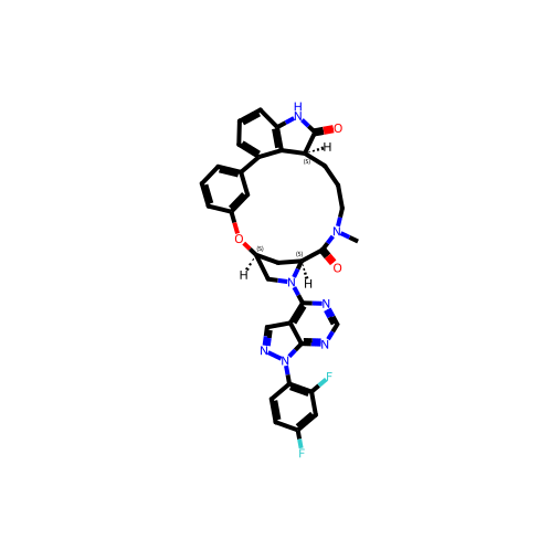 CN1CCC[C@@H]2C(=O)Nc3cccc(c32)-c2cccc(c2)O[C@H]2C[C@@H](C1=O)N(c1ncnc3c1cnn3-c1ccc(F)cc1F)C2